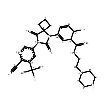 N#Cc1ncc(N2C(=O)C3(CCC3)N(C3=CC(C(=O)NCCN4CCOCC4)C(F)C=C3)C2=S)cc1C(F)(F)F